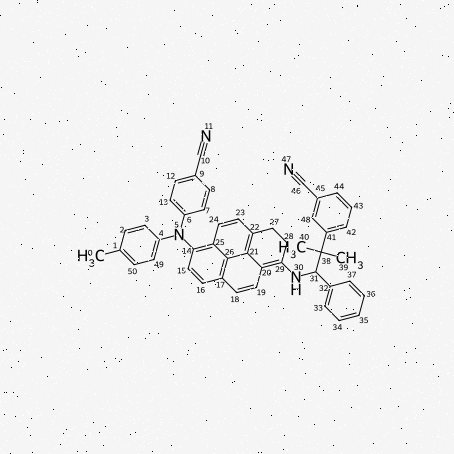 Cc1ccc(N(c2ccc(C#N)cc2)c2ccc3ccc4c5c(ccc2c35)CCC=4NC(c2ccccc2)C(C)(C)c2cccc(C#N)c2)cc1